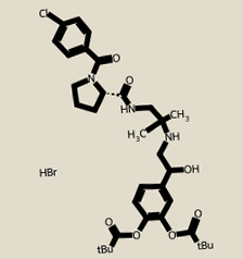 Br.CC(C)(CNC(=O)[C@@H]1CCCN1C(=O)c1ccc(Cl)cc1)NCC(O)c1ccc(OC(=O)C(C)(C)C)c(OC(=O)C(C)(C)C)c1